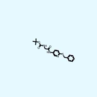 CC(C)(C)OC(=O)NCC(=O)Nc1ccc(SCc2ccccc2)nc1